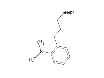 CCCCCCCCCCc1ccccc1N(C)C